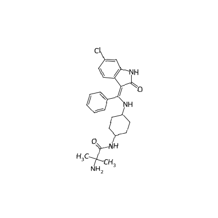 CC(C)(N)C(=O)NC1CCC(N/C(=C2\C(=O)Nc3cc(Cl)ccc32)c2ccccc2)CC1